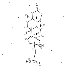 C[C@]12CCC(=O)C[C@@H]1CC[C@@H]1[C@@H]2CC[C@@]2(C)[C@H]1CC[C@@]2(O)C#CC(=O)O